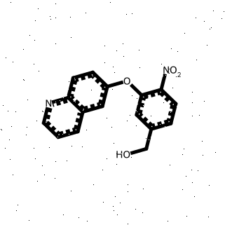 O=[N+]([O-])c1ccc(CO)cc1Oc1ccc2ncccc2c1